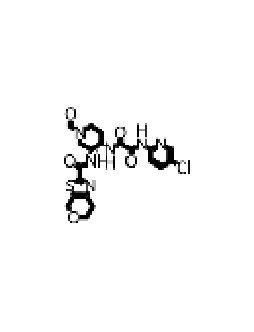 O=CN1CC[C@H](NC(=O)C(=O)Nc2ccc(Cl)cn2)[C@H](NC(=O)c2nc3c(s2)COCC3)C1